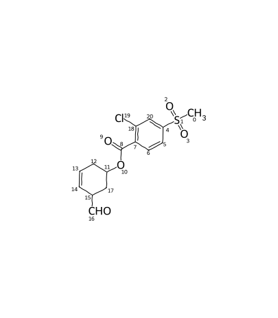 CS(=O)(=O)c1ccc(C(=O)OC2CC=CC(C=O)C2)c(Cl)c1